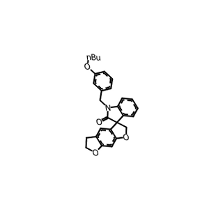 CCCCOc1cccc(CN2C(=O)C3(COc4cc5c(cc43)CCO5)c3ccccc32)c1